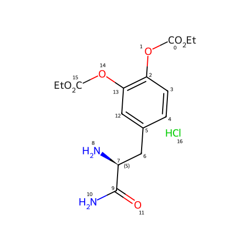 CCOC(=O)Oc1ccc(C[C@H](N)C(N)=O)cc1OC(=O)OCC.Cl